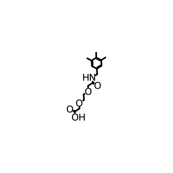 Cc1cc(CNC(=O)COCCOCC(=O)O)cc(C)c1C